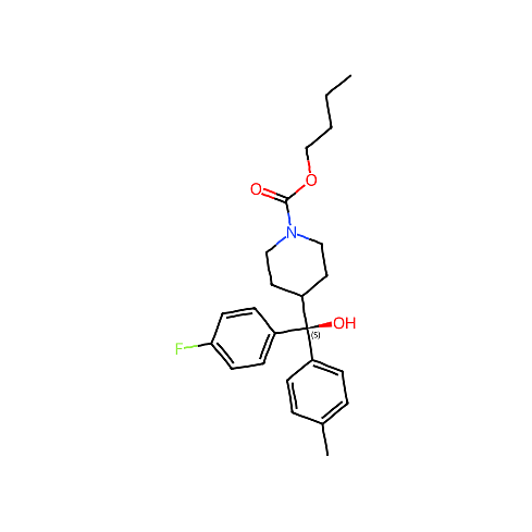 CCCCOC(=O)N1CCC([C@](O)(c2ccc(C)cc2)c2ccc(F)cc2)CC1